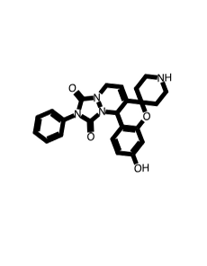 O=c1n(-c2ccccc2)c(=O)n2n1CC=C1C2c2ccc(O)cc2OC12CCNCC2